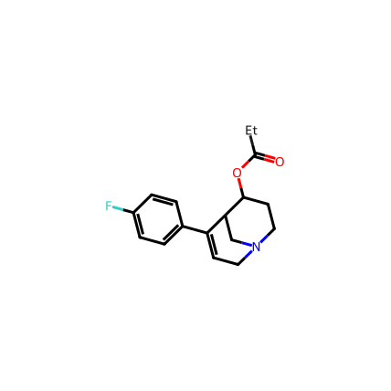 CCC(=O)OC1CCN2CC=C(c3ccc(F)cc3)C1C2